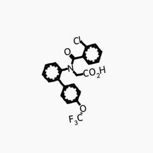 O=C(O)CN(C(=O)c1ccccc1Cl)c1ccccc1-c1ccc(OC(F)(F)F)cc1